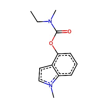 CCN(C)C(=O)Oc1cccc2c1ccn2C